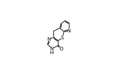 O=c1[nH]cnc2c1Sc1ncccc1C2